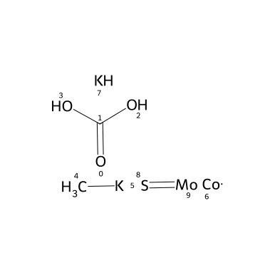 O=C(O)O.[CH3][K].[Co].[KH].[S]=[Mo]